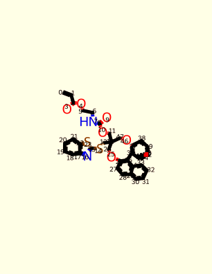 C=CC(=O)OCCNC(=O)OCC1(CSc2nc3ccccc3s2)COc2ccc3ccccc3c2-c2c(ccc3ccccc23)OC1